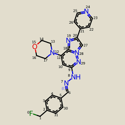 FCc1ccc(/C=N/Nc2cc(N3CCOCC3)c3nc(-c4ccncc4)cn3n2)cc1